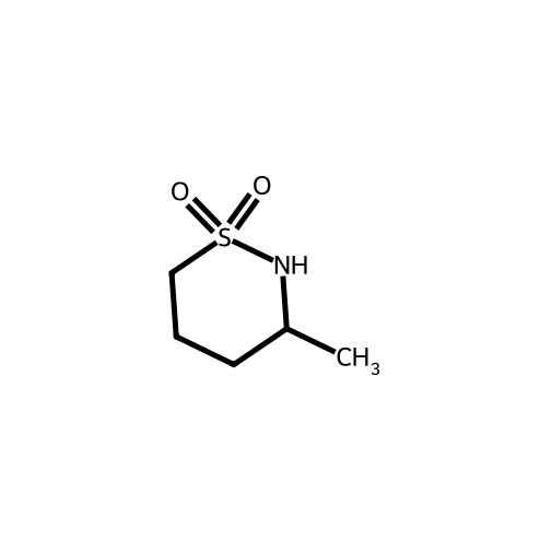 CC1CCCS(=O)(=O)N1